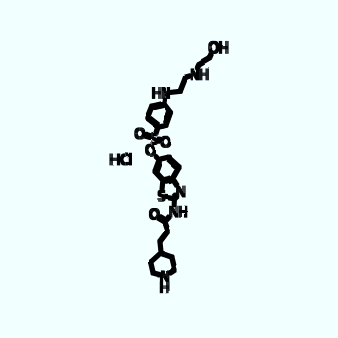 Cl.O=C(CCC1CCNCC1)Nc1nc2ccc(OS(=O)(=O)c3ccc(NCCNCCO)cc3)cc2s1